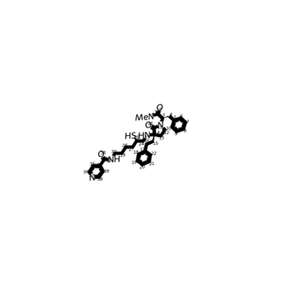 CNC(=O)[C@H](Cc1ccccc1)N1CC[C@](CCc2ccccc2)(NC[C@H](S)CCCCNC(=O)c2ccncc2)C1=O